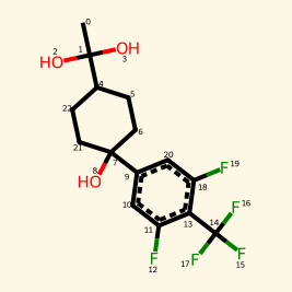 CC(O)(O)C1CCC(O)(c2cc(F)c(C(F)(F)F)c(F)c2)CC1